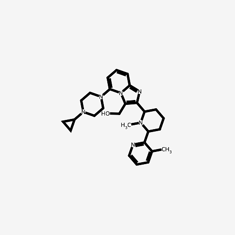 Cc1cccnc1C1CCCC(c2nc3cccc(N4CCN(C5CC5)CC4)n3c2CO)N1C